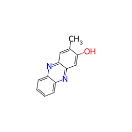 Cc1cc2nc3ccccc3nc2cc1O